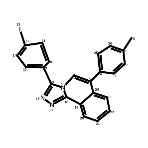 Cc1ccc(-c2cn3c(-c4ccc(I)cc4)nnc3c3ccccc23)cc1